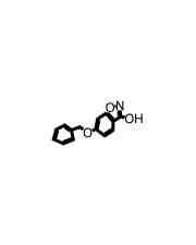 Oc1noc2cc(OCc3ccccc3)ccc12